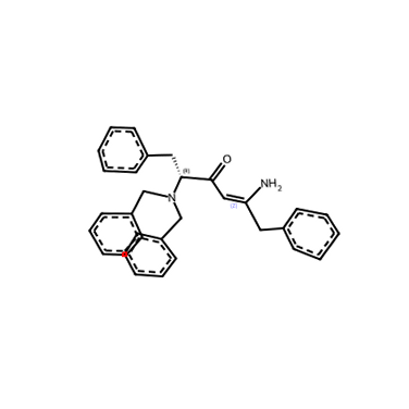 N/C(=C\C(=O)[C@@H](Cc1ccccc1)N(Cc1ccccc1)Cc1ccccc1)Cc1ccccc1